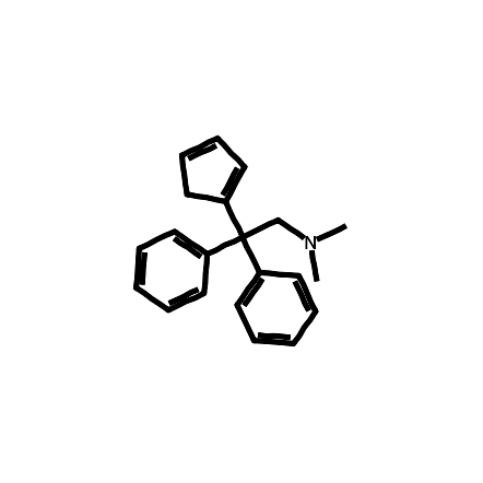 CN(C)CC(C1=CC=CC1)(c1ccccc1)c1ccccc1